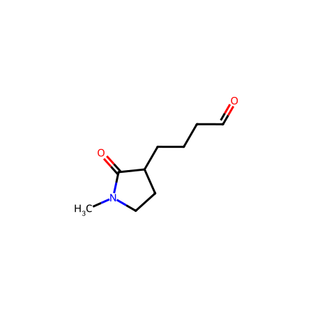 CN1CCC(CCCC=O)C1=O